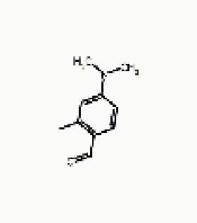 CN(C)c1ccc(C=O)c(I)c1